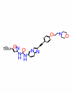 CC(C)(C)c1cc(NC(=O)Nc2ccc3nc(C#Cc4ccc(OCCN5CCOCC5)cc4)cn3c2)no1